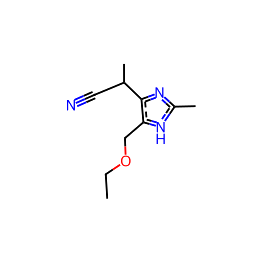 CCOCc1[nH]c(C)nc1C(C)C#N